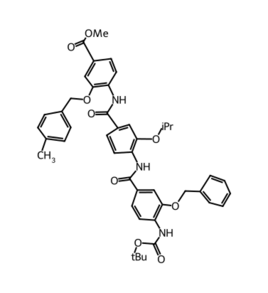 COC(=O)c1ccc(NC(=O)c2ccc(NC(=O)c3ccc(NC(=O)OC(C)(C)C)c(OCc4ccccc4)c3)c(OC(C)C)c2)c(OCc2ccc(C)cc2)c1